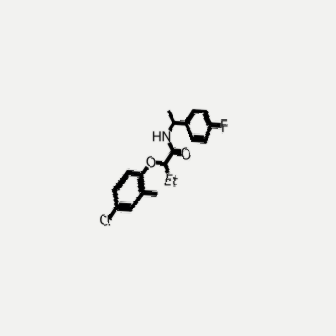 CCC(Oc1ccc(Cl)cc1C)C(=O)NC(C)c1ccc(F)cc1